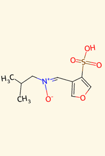 CC(C)C[N+]([O-])=Cc1cocc1S(=O)(=O)O